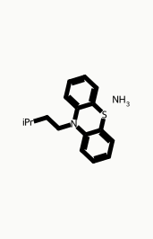 CC(C)CCN1c2ccccc2Sc2ccccc21.N